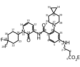 CCOC(=O)CSNc1ccc(C(=O)Nc2cccn(C3CCC(F)(F)CC3)c2=O)c(N2CCC3(CC2)CC3)c1